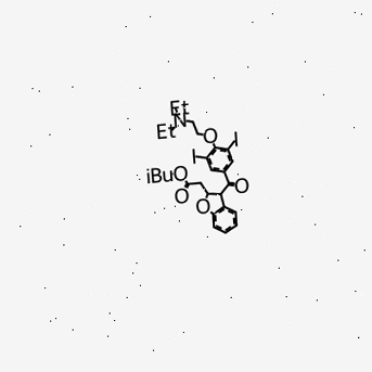 CC[C@H](C)OC(=O)CC1Oc2ccccc2C1C(=O)c1cc(I)c(OCCN(CC)CC)c(I)c1